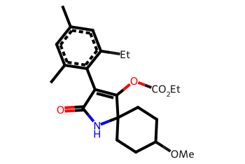 CCOC(=O)OC1=C(c2c(C)cc(C)cc2CC)C(=O)NC12CCC(OC)CC2